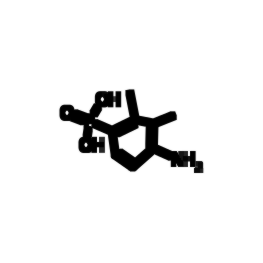 Cc1c(N)ccc(P(=O)(O)O)c1C